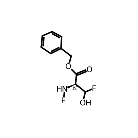 O=C(OCc1ccccc1)[C@H](NF)C(O)F